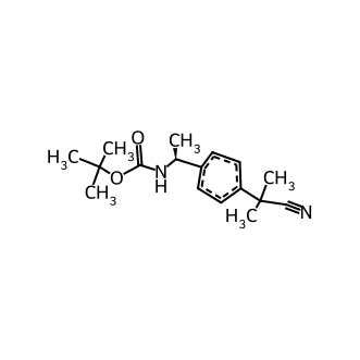 C[C@H](NC(=O)OC(C)(C)C)c1ccc(C(C)(C)C#N)cc1